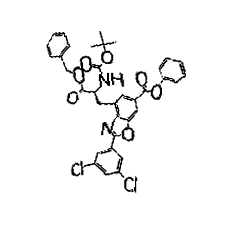 CC(C)(C)OC(=O)N[C@@H](Cc1cc(C(=O)Oc2ccccc2)cc2oc(-c3cc(Cl)cc(Cl)c3)nc12)C(=O)OCc1ccccc1